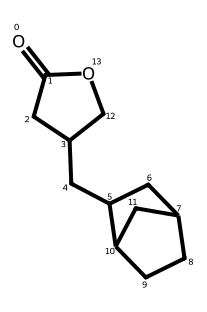 O=C1CC(CC2CC3CCC2C3)CO1